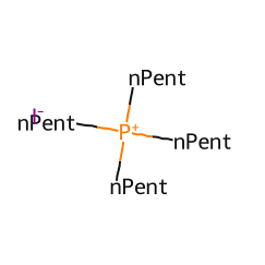 CCCCC[P+](CCCCC)(CCCCC)CCCCC.[I-]